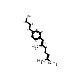 CC(C)=CCC/C(C)=C/c1ccc(CCCI)cc1